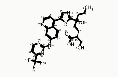 CCCC(O)(CC[C@@H](CC)C(=O)O)c1ncc(-c2ccnc3cc(Nc4nccc(C(F)(F)F)n4)ccc23)s1